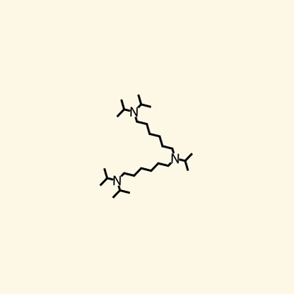 CC(C)N(CCCCCCN(C(C)C)C(C)C)CCCCCCN(C(C)C)C(C)C